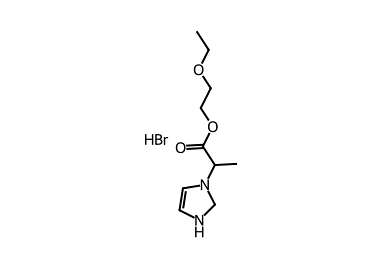 Br.CCOCCOC(=O)C(C)N1C=CNC1